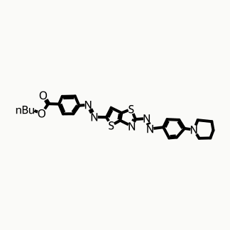 CCCCOC(=O)c1ccc(N=Nc2cc3sc(N=Nc4ccc(N5CCCCC5)cc4)nc3s2)cc1